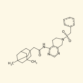 CC12CC3CC(C)(C1)CC(CC(=O)Nc1ncnc4c1CCN(S(=O)(=O)Cc1ccccc1)C4)(C3)C2